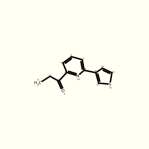 CCC(=O)c1cccc(-c2ccsc2)n1